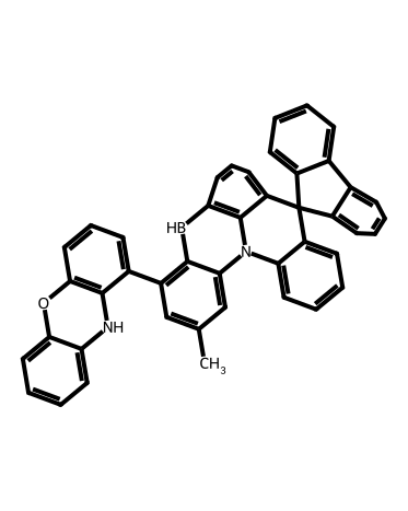 Cc1cc(-c2cccc3c2Nc2ccccc2O3)c2c(c1)N1c3ccccc3C3(c4ccccc4-c4ccccc43)c3cccc(c31)B2